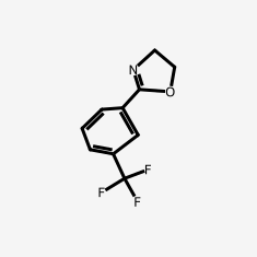 FC(F)(F)c1cccc(C2=NCCO2)c1